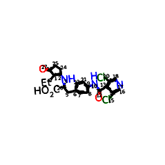 CCC1=C(N[C@@H](Cc2ccc(NC(=O)c3c(Cl)cncc3Cl)cc2)C(=O)O)CCC1=O